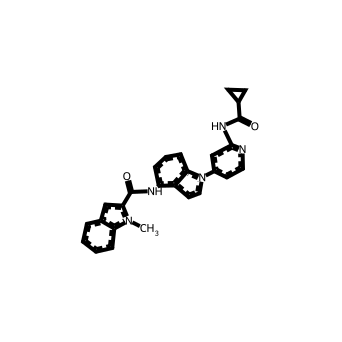 Cn1c(C(=O)Nc2cccc3c2ccn3-c2ccnc(NC(=O)C3CC3)c2)cc2ccccc21